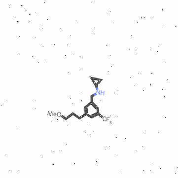 COCCCc1cc(CNC2CC2)cc(C(F)(F)F)c1